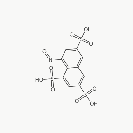 O=Nc1cc(S(=O)(=O)O)cc2cc(S(=O)(=O)O)cc(S(=O)(=O)O)c12